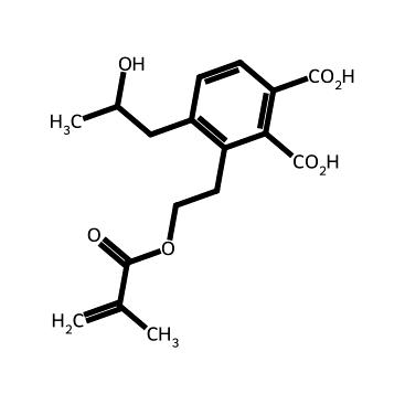 C=C(C)C(=O)OCCc1c(CC(C)O)ccc(C(=O)O)c1C(=O)O